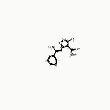 CCc1noc(C=C(N)c2ccccc2)c1C(=O)NC